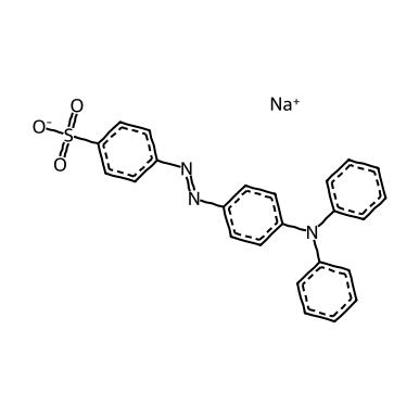 O=S(=O)([O-])c1ccc(/N=N/c2ccc(N(c3ccccc3)c3ccccc3)cc2)cc1.[Na+]